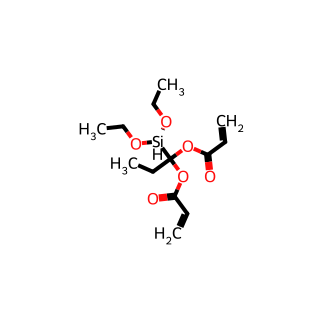 C=CC(=O)OC(CC)(OC(=O)C=C)[SiH](OCC)OCC